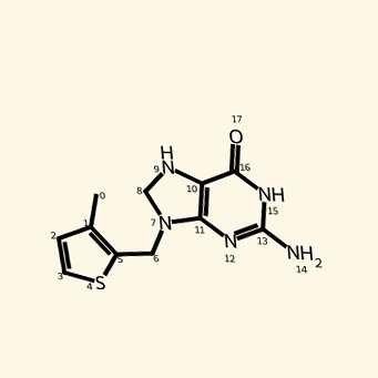 Cc1ccsc1CN1CNc2c1nc(N)[nH]c2=O